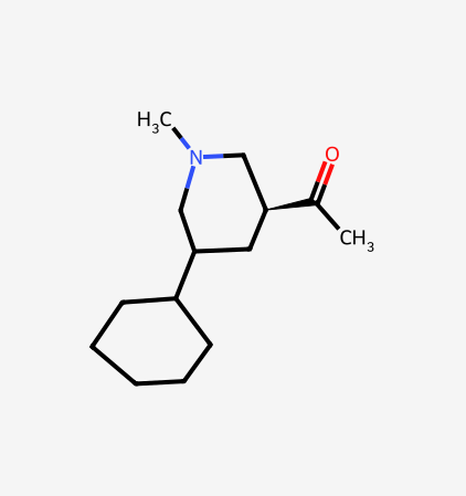 CC(=O)[C@H]1CC(C2CCCCC2)CN(C)C1